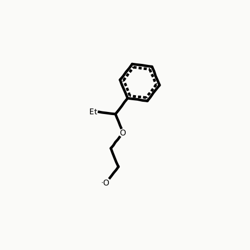 CCC(OCC[O])c1ccccc1